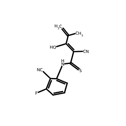 C=C(C)C(O)=C(C#N)C(=S)Nc1cccc(F)c1C#N